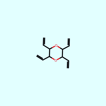 C=CC1OC(C=C)C(C=C)OC1C=C